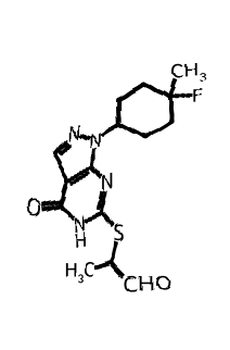 CC(C=O)Sc1nc2c(cnn2C2CCC(C)(F)CC2)c(=O)[nH]1